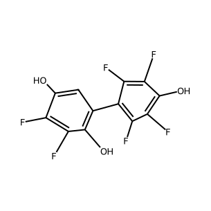 Oc1cc(-c2c(F)c(F)c(O)c(F)c2F)c(O)c(F)c1F